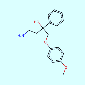 COc1ccc(OCC(O)(CCN)c2ccccc2)cc1